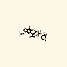 COc1nc(N[C@@H]2CCN(C)CC2(F)F)nn2cc(F)c(-c3cc(F)c4ncn(CC(F)F)c4c3)c12